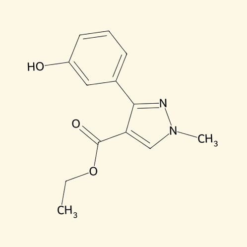 CCOC(=O)c1cn(C)nc1-c1cccc(O)c1